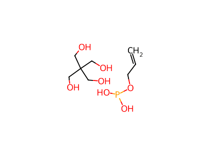 C=CCOP(O)O.OCC(CO)(CO)CO